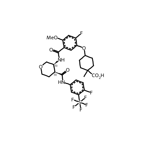 COc1cc(F)c(OC2CCC(C)(C(=O)O)CC2)cc1C(=O)N[C@@H]1COCC[C@@H]1C(=O)Nc1ccc(F)c(S(F)(F)(F)(F)F)c1